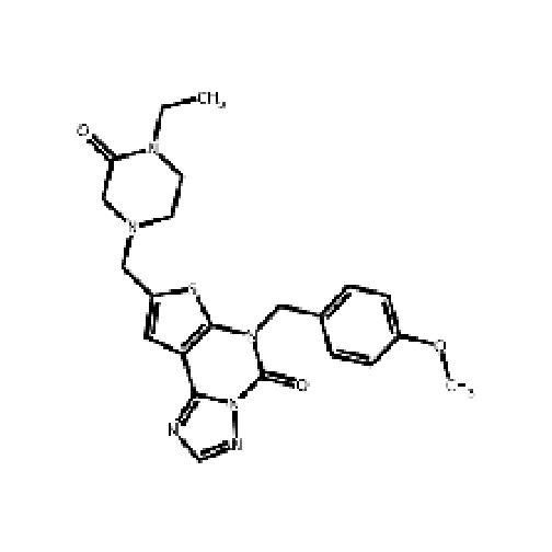 CCN1CCN(Cc2cc3c(s2)n(Cc2ccc(OC)cc2)c(=O)n2ncnc32)CC1=O